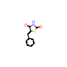 O=C1NC(=O)C(=Cc2c[c]ccc2)S1